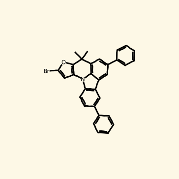 CC1(C)c2oc(Br)cc2-n2c3ccc(-c4ccccc4)cc3c3cc(-c4ccccc4)cc1c32